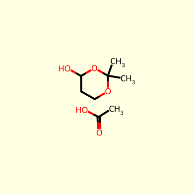 CC(=O)O.CC1(C)OCCC(O)O1